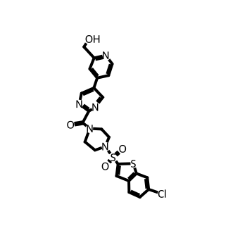 O=C(c1ncc(-c2ccnc(CO)c2)cn1)N1CCN(S(=O)(=O)c2cc3ccc(Cl)cc3s2)CC1